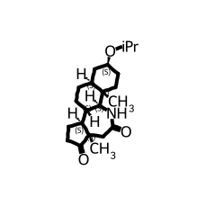 CC(C)O[C@H]1CC[C@@]2(C)[C@@H](CC[C@@H]3[C@@H]2NC(=O)C[C@]2(C)C(=O)CC[C@@H]32)C1